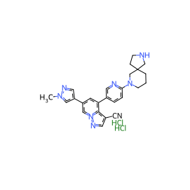 Cl.Cl.Cn1cc(-c2cc(-c3ccc(N4CCCC5(CCNC5)C4)nc3)c3c(C#N)cnn3c2)cn1